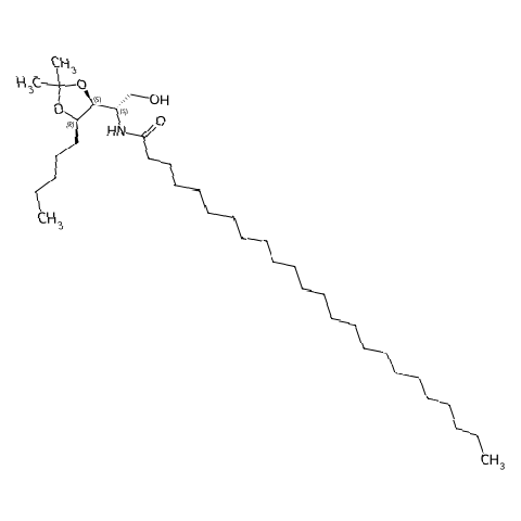 CCCCCCCCCCCCCCCCCCCCCCCC(=O)N[C@@H](CO)[C@@H]1OC(C)(C)O[C@@H]1CCCCC